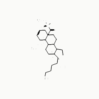 COP(=O)([O-])C(=O)C12CC=CC[C@]1(C)C1CC[C@@]3(C)C(CC[C@@H]3[C@H](C)CCCC(C)C)C1CC2.[Na+]